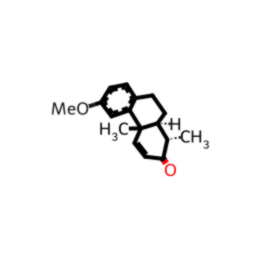 COc1ccc2c(c1)C1(C)C=CC(=O)[C@@H](C)[C@@H]1CC2